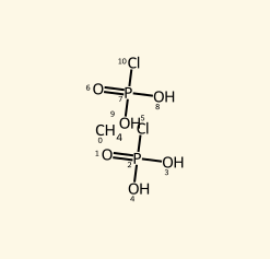 C.O=P(O)(O)Cl.O=P(O)(O)Cl